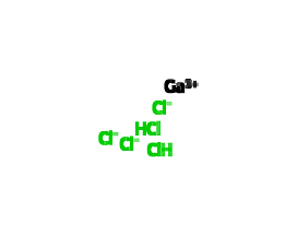 Cl.Cl.[Cl-].[Cl-].[Cl-].[Ga+3]